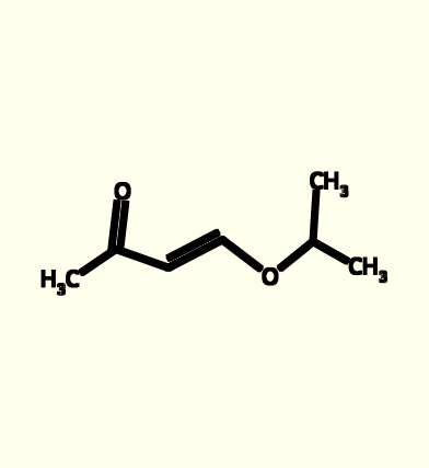 CC(=O)C=COC(C)C